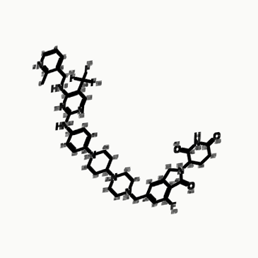 Cc1ncccc1CNc1nc(Nc2ccc(N3CCC(N4CCN(Cc5cc(F)c6c(c5)CN(C5CCC(=O)NC5=O)C6=O)CC4)CC3)cc2)ncc1C(F)(F)F